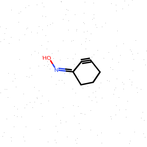 ON=C1C#CCCC1